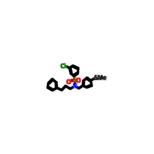 CSc1ccc(CN(CCCc2ccccc2)S(=O)(=O)c2cccc(Cl)c2)cc1